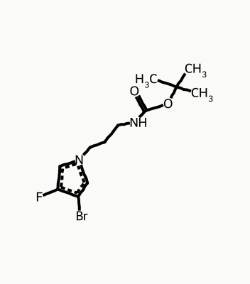 CC(C)(C)OC(=O)NCCCn1cc(F)c(Br)c1